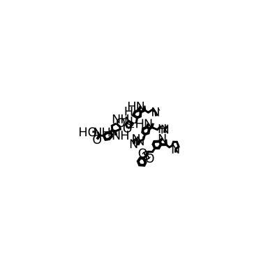 CN(C)CCc1c[nH]c2ccc(C[C@H]3COC(=O)N3)cc12.CN(C)CCc1c[nH]c2ccc(Cn3cncn3)cc12.CN1CCCC1Cc1c[nH]c2ccc(CCS(=O)(=O)c3ccccc3)cc12.NC1CCc2[nH]c3ccc(C(=O)NO)cc3c2C1